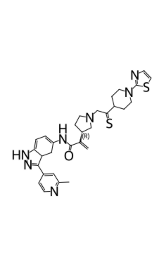 C=C(C(=O)NC1=CC=C2NN=C(c3ccnc(C)c3)C2C1)[C@H]1CCN(CC(=S)C2CCN(c3nccs3)CC2)C1